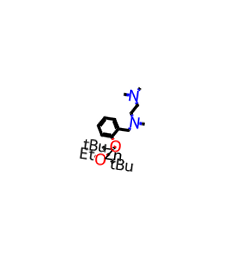 CC[O][Zn]([O]c1ccccc1CN(C)CCN(C)C)([C](C)(C)C)[C](C)(C)C